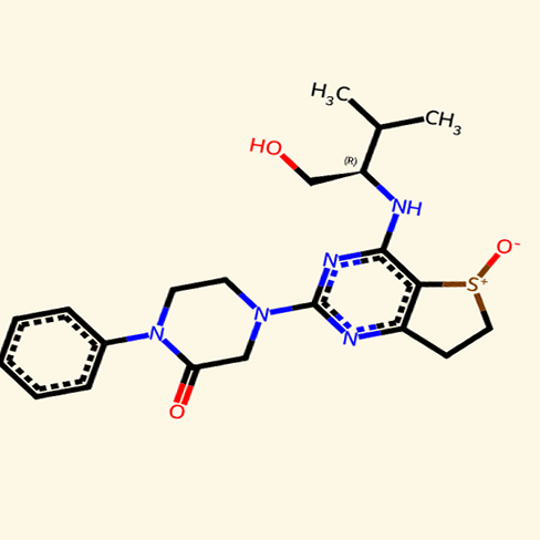 CC(C)[C@H](CO)Nc1nc(N2CCN(c3ccccc3)C(=O)C2)nc2c1[S+]([O-])CC2